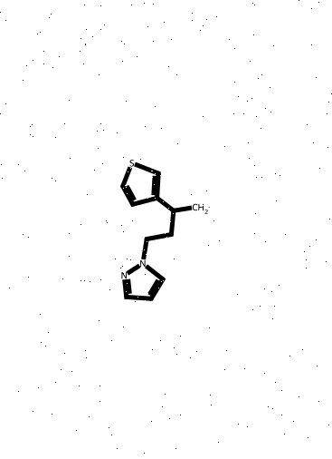 [CH2]C(CCn1cccn1)c1ccsc1